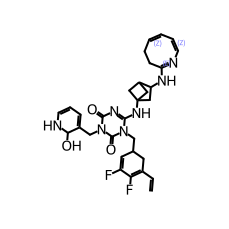 C=CC1=C(F)C(F)=CC(Cn2c(NC34CC(C3)C(N/C3=N/C=C\C=C/CC3)C4)nc(=O)n(CC3=CC=CNC3O)c2=O)C1